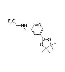 CC1(C)OB(c2cncc(CNCC(F)(F)F)c2)OC1(C)C